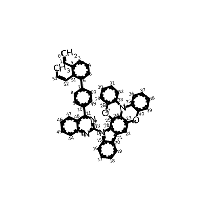 C=Cc1cccc(-c2ccc(-c3nc(-n4c5ccccc5c5cc6c7c(c54)Oc4ccccc4N7c4ccccc4O6)nc4ccccc34)cc2)c1/C=C\C